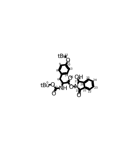 CC(C)(C)OC(=O)NC(Cc1ccc(OC(C)(C)C)cc1)C(=O)ON1C(=O)c2ccccc2C1O